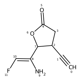 C#CC1CC(=O)OC1C(N)=CF